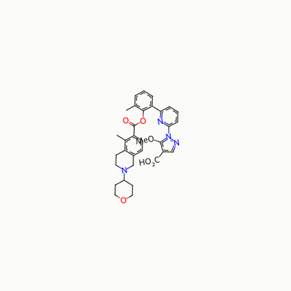 COc1c(C(=O)O)cnn1-c1cccc(-c2cccc(C)c2OC(=O)c2ccc3c(c2C)CCN(C2CCOCC2)C3)n1